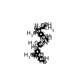 C[C@@H]1CN(c2ncc(Cl)c(Nc3cc4c(cc3F)n(C)c(=O)n4CCC(C)(C)O)n2)CC[C@H]1Nc1ccc2c(C3CCC(=O)NC3=O)nn(C)c2c1